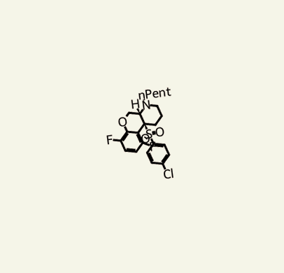 CCCCCN1CCC[C@]2(S(=O)(=O)c3ccc(Cl)cc3)c3c(F)ccc(F)c3OC[C@H]12